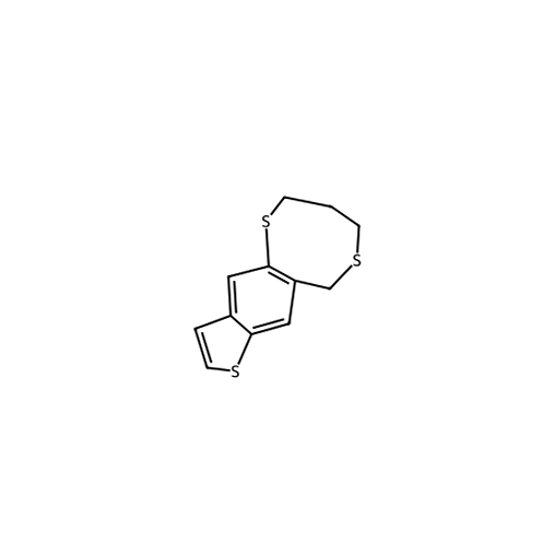 c1cc2cc3c(cc2s1)CSCCCS3